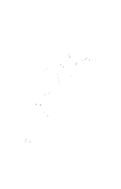 N[C@@H]1C(=O)N2C(C(=O)O)=C(/C=C3\CCN(C4CCNCC4)C3=O)CC[C@H]12